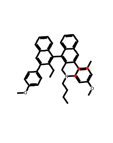 CCCCN(CCCC)Cc1c(-c2ccc(OC)cc2)cc2ccccc2c1-c1c(CC)c(-c2ccc(OC)cc2)cc2ccccc12